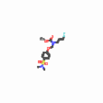 CN(C)S(=O)(=O)c1ccc(OCN(CC=CF)C(=O)OC(C)(C)C)cc1